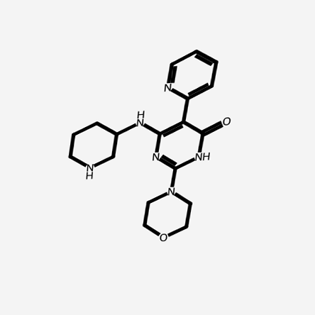 O=c1[nH]c(N2CCOCC2)nc(NC2CCCNC2)c1-c1ccccn1